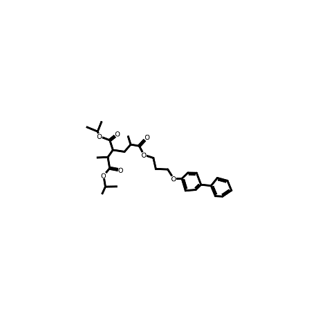 CC(C)OC(=O)C(C)C(CC(C)C(=O)OCCCOc1ccc(-c2ccccc2)cc1)C(=O)OC(C)C